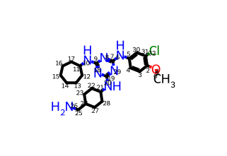 COc1ccc(Nc2nc(NC3CCCCCC3)nc(NC3CCC(CN)CC3)n2)cc1Cl